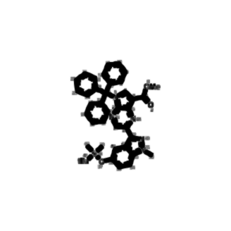 COC(=O)c1cn(C(c2ccccc2)(c2ccccc2)c2ccccc2)c2ncc(-c3nn(C)c4ccc(O[Si](C)(C)C(C)(C)C)cc34)nc12